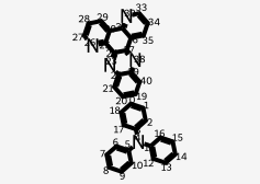 c1ccc(N(c2ccccc2)c2ccccc2)cc1.c1ccc2nc3c4ncccc4c4ncccc4c3nc2c1